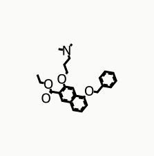 CCOC(=O)c1cc2cccc(OCc3ccccc3)c2cc1OCCCN(C)C